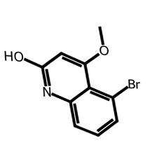 COc1cc(O)nc2cccc(Br)c12